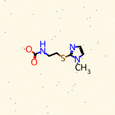 Cn1ccnc1SCCNC([O])=O